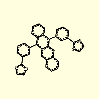 c1cc(-c2nccs2)cc(-c2c3ccccc3c(-c3cccc(-c4nccs4)c3)c3cc4ccccc4cc23)c1